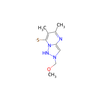 COCN1C=C2N=C(C)C(C)=C([S])N2N1